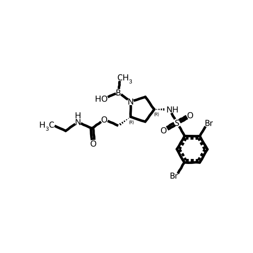 CCNC(=O)OC[C@H]1C[C@@H](NS(=O)(=O)c2cc(Br)ccc2Br)CN1B(C)O